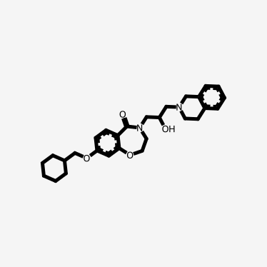 O=C1c2ccc(OCC3CCCCC3)cc2OCCN1CC(O)CN1CCc2ccccc2C1